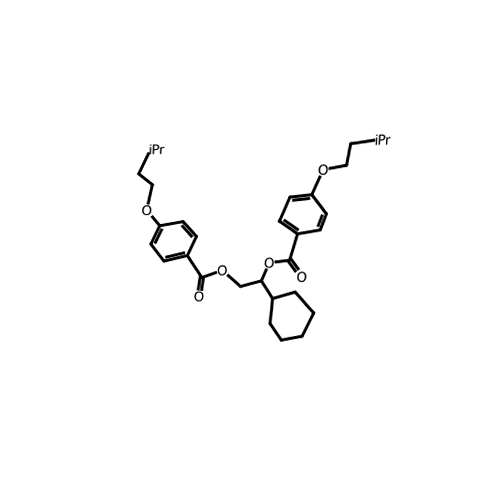 CC(C)CCOc1ccc(C(=O)OCC(OC(=O)c2ccc(OCCC(C)C)cc2)C2CCCCC2)cc1